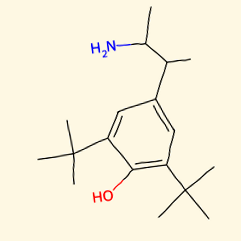 CC(N)C(C)c1cc(C(C)(C)C)c(O)c(C(C)(C)C)c1